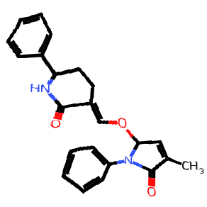 CC1=CC(O/C=C2\CCC(c3ccccc3)NC2=O)N(c2ccccc2)C1=O